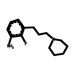 Nc1cccc(CCCN2CCCCC2)c1F